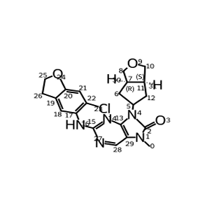 Cn1c(=O)n(C2C[C@H]3COC[C@H]3C2)c2nc(Nc3cc4c(cc3Cl)OCC4)ncc21